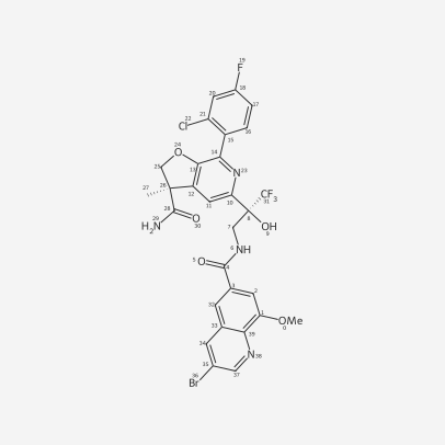 COc1cc(C(=O)NC[C@](O)(c2cc3c(c(-c4ccc(F)cc4Cl)n2)OC[C@]3(C)C(N)=O)C(F)(F)F)cc2cc(Br)cnc12